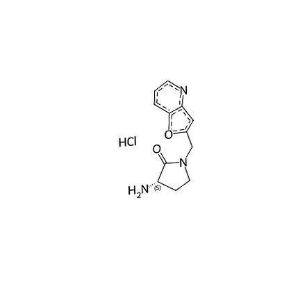 Cl.N[C@H]1CCN(Cc2cc3ncccc3o2)C1=O